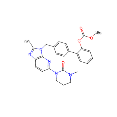 CCCc1nc2ccc(N3CCCN(C)C3=O)nc2n1Cc1ccc(-c2ccccc2OC(=O)OC(C)(C)C)cc1